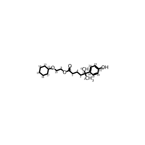 CC(C)(CCCC(=O)OCCOC1CCCCC1)c1ccc(O)cc1